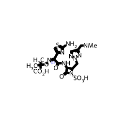 CNCc1cnn(CC2C(NC(=O)/C(=N\OC(C)(C)C(=O)O)c3csc(N)n3)C(=O)N2S(=O)(=O)O)n1